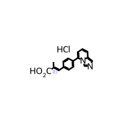 C/C(=C\c1ccc(-c2cccc3cncn23)cc1)C(=O)O.Cl